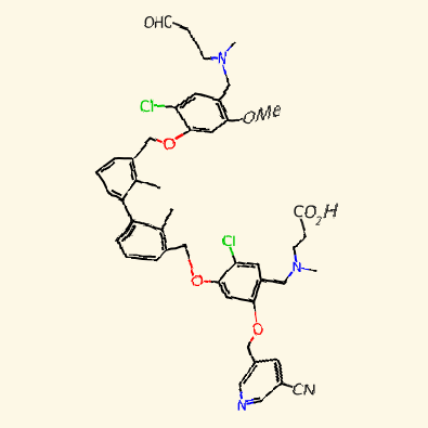 COc1cc(OCc2cccc(-c3cccc(COc4cc(OCc5cncc(C#N)c5)c(CN(C)CCC(=O)O)cc4Cl)c3C)c2C)c(Cl)cc1CN(C)CCC=O